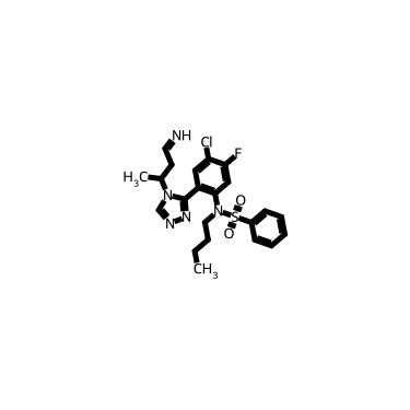 CCCCN(c1cc(F)c(Cl)cc1-c1nncn1C(C)CC=N)S(=O)(=O)c1ccccc1